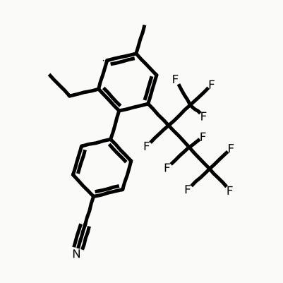 CCc1[c]c(C)cc(C(F)(C(F)(F)F)C(F)(F)C(F)(F)F)c1-c1ccc(C#N)cc1